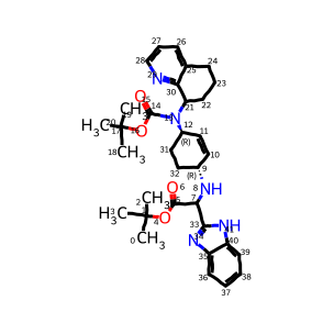 CC(C)(C)OC(=O)C(N[C@H]1C=C[C@H](N(C(=O)OC(C)(C)C)C2CCCc3cccnc32)CC1)c1nc2ccccc2[nH]1